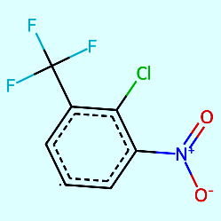 O=[N+]([O-])c1c[c]cc(C(F)(F)F)c1Cl